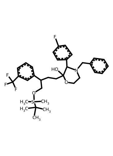 CC(C)(C)[Si](C)(C)OCC(CCC1(O)OCCN(Cc2ccccc2)C1c1ccc(F)cc1)c1cccc(C(F)(F)F)c1